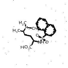 CC(CCC(NS(=O)(=O)c1cccc2ccccc12)C(=O)O)N(C)C